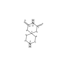 C=C1CC2(CCNCC2)CC(=C)N1